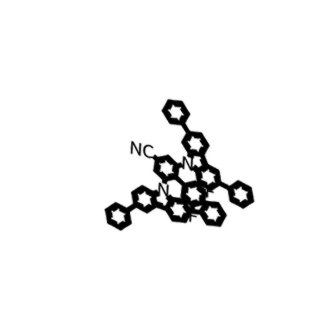 N#Cc1cc(-n2c3ccc(-c4ccccc4)cc3c3ccc(-c4ccccc4)cc32)c(-c2cc(F)cc(F)c2)c(-n2c3ccc(-c4ccccc4)cc3c3ccc(-c4ccccc4)cc32)c1